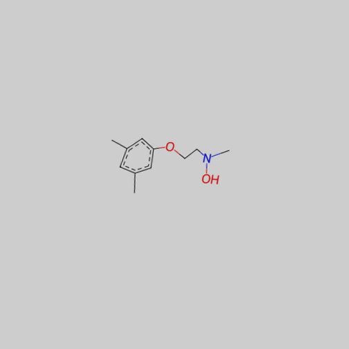 Cc1cc(C)cc(OCCN(C)O)c1